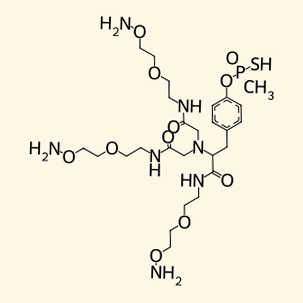 CP(=O)(S)Oc1ccc(CC(C(=O)NCCOCCON)N(CC(=O)NCCOCCON)CC(=O)NCCOCCON)cc1